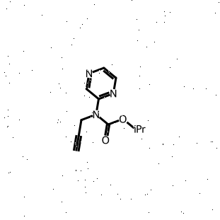 C#CCN(C(=O)OC(C)C)c1cnccn1